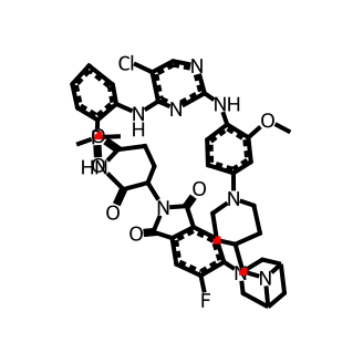 COc1cc(N2CCC(CN3C4CC3CN(c3cc5c(cc3F)C(=O)N(C3CCC(=O)NC3=O)C5=O)C4)CC2)ccc1Nc1ncc(Cl)c(Nc2ccccc2P(C)(C)=O)n1